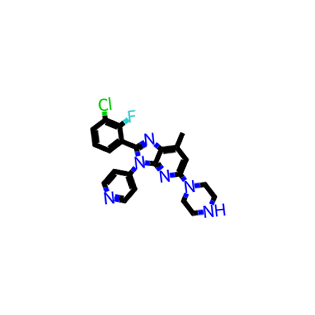 Cc1cc(N2CCNCC2)nc2c1nc(-c1cccc(Cl)c1F)n2-c1ccncc1